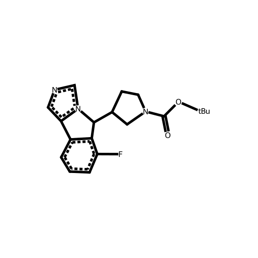 CC(C)(C)OC(=O)N1CCC(C2c3c(F)cccc3-c3cncn32)C1